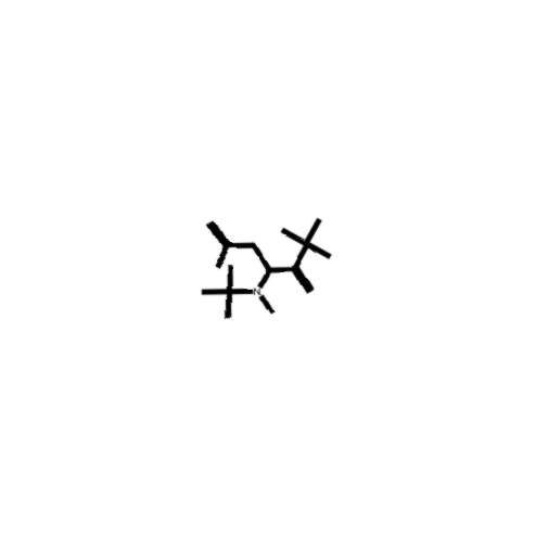 C=C(C)CC(C(=C)C(C)(C)C)N(C)C(C)(C)C